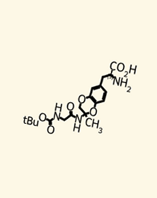 CC(C)(C)OC(=O)NCC(=O)NC1(C)COc2cc(C[C@H](N)C(=O)O)ccc2O1